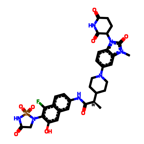 C[C@@H](C(=O)Nc1ccc2c(F)c(N3CC(=O)NS3(=O)=O)c(O)cc2c1)C1CCN(c2ccc3c(c2)n(C)c(=O)n3C2CCC(=O)NC2=O)CC1